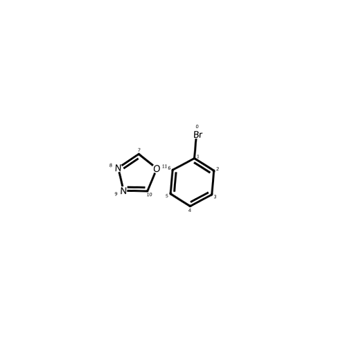 Brc1ccccc1.c1nnco1